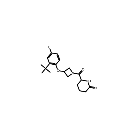 CC(C)(C)c1cc(F)ccc1OC1CN(C(=O)C2CCCC(=O)N2)C1